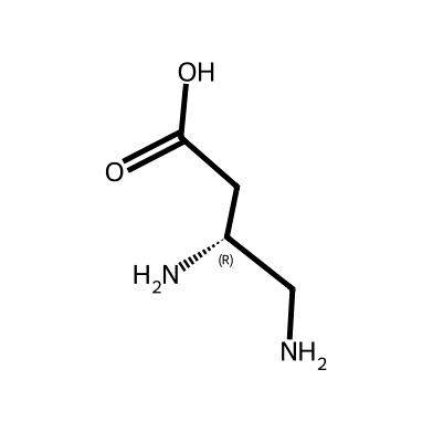 NC[C@H](N)CC(=O)O